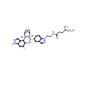 NC(CCC(=O)NCCn1ncc2cc([C@@H]3Nc4c(F)cc5[nH]ncc5c4[C@H]4C5CCC(C5)[C@@H]34)ccc21)C(=O)O